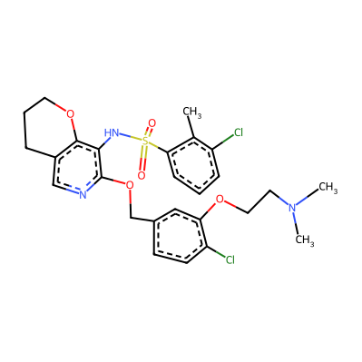 Cc1c(Cl)cccc1S(=O)(=O)Nc1c(OCc2ccc(Cl)c(OCCN(C)C)c2)ncc2c1OCCC2